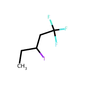 CCC(I)CC(F)(F)F